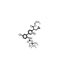 CCOC(=O)C(CC1CC1)c1ccc(-c2cc(Cl)ccc2NC(=O)OC(C)(C)C)c[n+]1[O-]